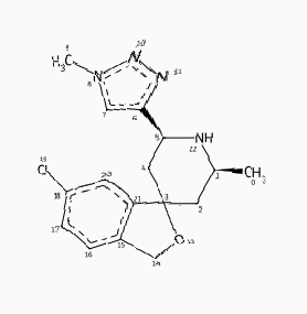 C[C@H]1CC2(C[C@@H](c3cn(C)nn3)N1)OCc1ccc(Cl)cc12